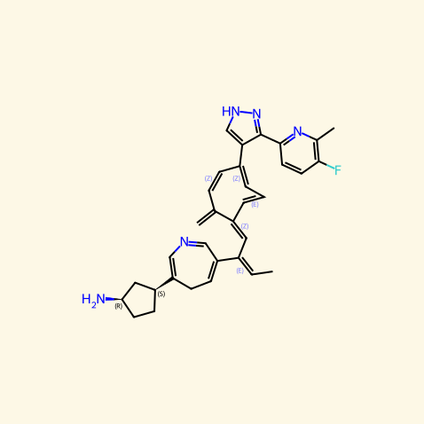 C=C1\C=C/C(c2c[nH]nc2-c2ccc(F)c(C)n2)=C/C=C/C1=C/C(=C\C)C1=CCC([C@H]2CC[C@@H](N)C2)=CN=C1